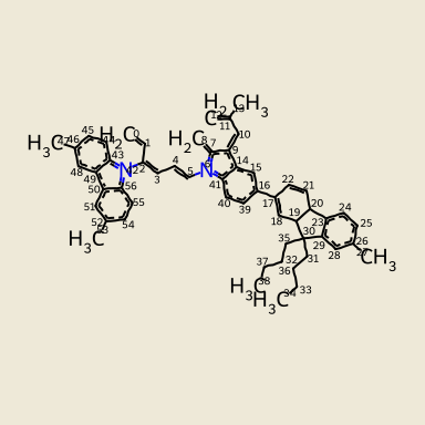 C=C/C(=C\C=C\n1c(=C)/c(=C\C(=C)C)c2cc(C3=CC4C(C=C3)c3ccc(C)cc3C4(CCCC)CCCC)ccc21)n1c2ccc(C)cc2c2cc(C)ccc21